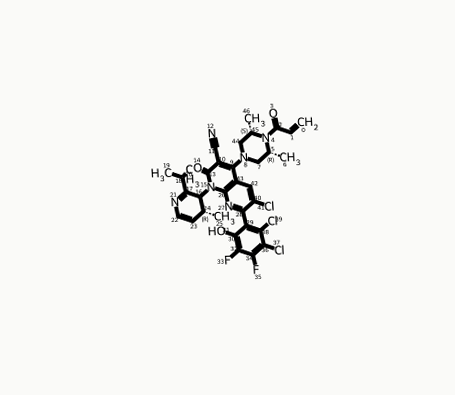 C=CC(=O)N1[C@H](C)CN(c2c(C#N)c(=O)n(C3C(C(C)C)=NC=C[C@H]3C)c3nc(-c4c(O)c(F)c(F)c(Cl)c4Cl)c(Cl)cc23)C[C@@H]1C